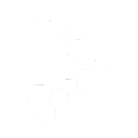 Cn1nc(C(C)(C)C)cc1C(=O)N1CC(C)(C)CC1[C@@H]1NC(=O)N(c2cccc3ccccc23)C1=O